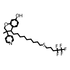 CC1(c2ccncc2)COc2cc(O)ccc2C1CCCCCCCCCSCCCC(F)(F)C(F)(F)F